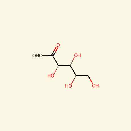 O=CC(=O)[C@@H](O)[C@H](O)[C@@H](O)CO